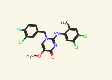 COc1cn(Cc2ccc(F)c(Cl)c2)c(Nc2cc(Cl)c(Cl)cc2C)nc1=O